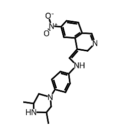 CC1CN(c2ccc(NC=C3CN=Cc4ccc([N+](=O)[O-])cc43)cc2)CC(C)N1